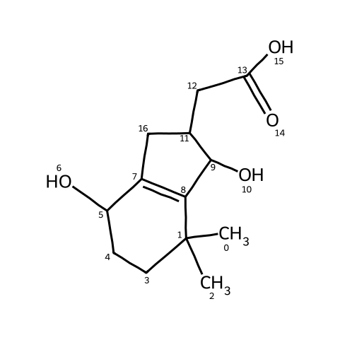 CC1(C)CCC(O)C2=C1C(O)C(CC(=O)O)C2